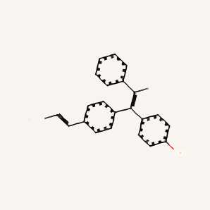 CC/C(=C(\c1ccc(O)cc1)c1ccc(C=CC(=O)O)cc1)c1ccccc1